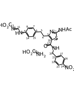 CC(=O)Nc1nc(CCc2ccc(NC=NC(=O)O)cc2)c(C(=O)NCc2ccc([N+](=O)[O-])cc2)s1.NC(=O)O